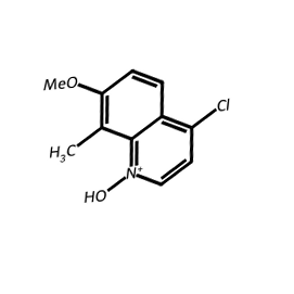 COc1ccc2c(Cl)cc[n+](O)c2c1C